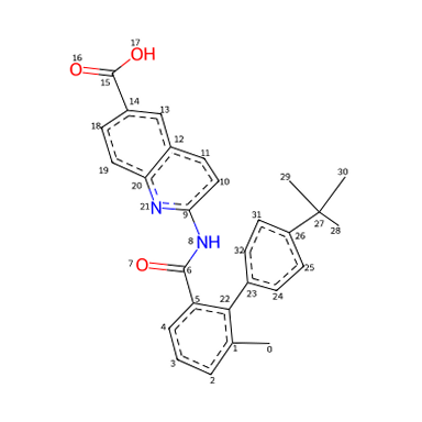 Cc1cccc(C(=O)Nc2ccc3cc(C(=O)O)ccc3n2)c1-c1ccc(C(C)(C)C)cc1